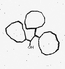 OC(C1CCCCCCCCC1)C(C1CCCCCCCCC1)C1CCCCCCCCC1